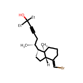 CCC(O)(C#CC[C@@H](C)[C@H]1CC[C@H]2/C(=C/Br)CCC[C@]12C)CC